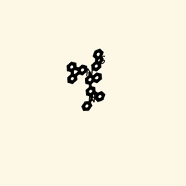 c1ccc(-n2c3ccccc3c3cc(-c4ccc(N(c5ccc6sc7ccccc7c6c5)c5ccc6c7ccccc7c7ccccc7c6c5)c5ccccc45)ccc32)cc1